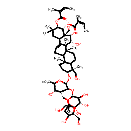 C/C=C(/C)C(=O)O[C@H]1[C@H](OC(=O)/C(C)=C\C)[C@@]2(CO)C(CC1(C)C)C1=CCC3[C@@]4(C)CC[C@H](O[C@@H]5OC(C(=O)O)[C@@H](O)[C@@H](CO[C@@H]6O[C@@H](CO)C(O)[C@@H]6O)C5O[C@@H]5OC(C)(CO)[C@@H](O)[C@@H](O)C5O)[C@](C)(CO)C4CC[C@@]3(C)[C@]1(C)[C@@H](O)[C@H]2O